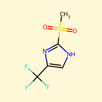 CS(=O)(=O)c1nc(C(F)(F)F)c[nH]1